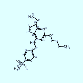 CCCCOc1nc(NCc2ccc(S(N)(=O)=O)cc2)c2cnn(CC)c2n1